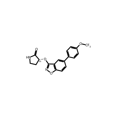 O=C1NCC[C@H]1Oc1noc2ccc(-c3ccc(OC(F)(F)F)cc3)cc12